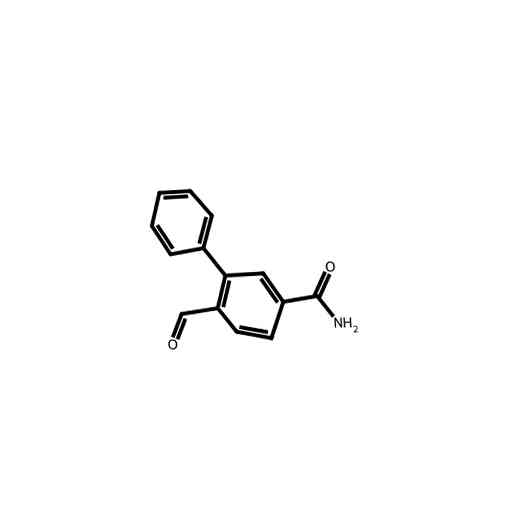 NC(=O)c1ccc(C=O)c(-c2ccccc2)c1